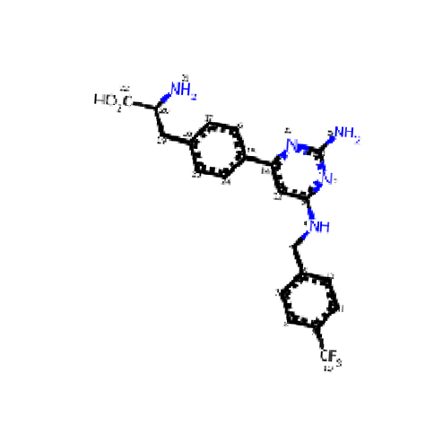 Nc1nc(NCc2ccc(C(F)(F)F)cc2)cc(-c2ccc(CC(N)C(=O)O)cc2)n1